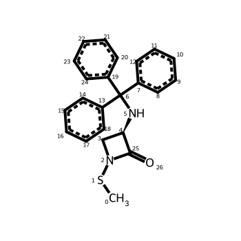 CSN1C[C@@H](NC(c2ccccc2)(c2ccccc2)c2ccccc2)C1=O